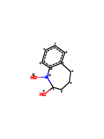 OC1CCCc2ccccc2N1O